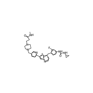 CNC(=O)CCN1CCN(Cc2ccc(-c3cc4nccc(Cc5ccc(NC(=O)NC6CC6)cc5F)c4s3)nc2)CC1